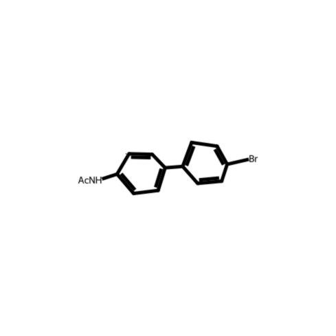 CC(=O)Nc1[c]cc(-c2ccc(Br)cc2)cc1